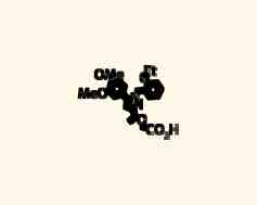 CCOc1ccccc1Cn1nc(C(C)OCC(=O)O)cc1-c1cc(OC)cc(OC)c1